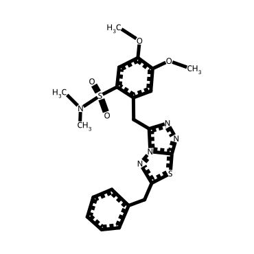 COc1cc(Cc2nnc3sc(Cc4ccccc4)nn23)c(S(=O)(=O)N(C)C)cc1OC